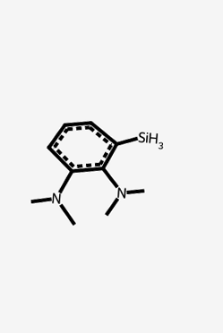 CN(C)c1cccc([SiH3])c1N(C)C